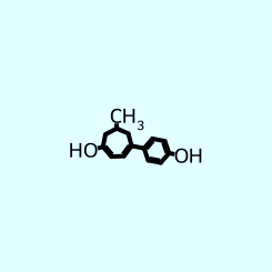 CC1CC(O)=CC=C(c2ccc(O)cc2)C1